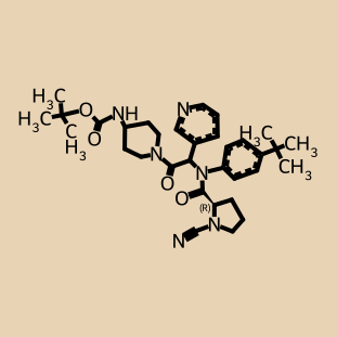 CC(C)(C)OC(=O)NC1CCN(C(=O)C(c2cccnc2)N(C(=O)[C@H]2CCCN2C#N)c2ccc(C(C)(C)C)cc2)CC1